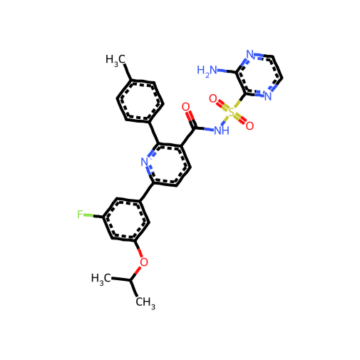 Cc1ccc(-c2nc(-c3cc(F)cc(OC(C)C)c3)ccc2C(=O)NS(=O)(=O)c2nccnc2N)cc1